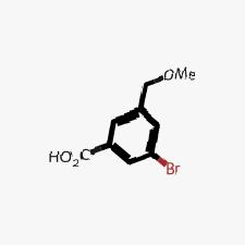 COCc1cc(Br)cc(C(=O)O)c1